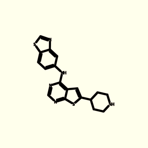 c1nc(Nc2ccc3scnc3c2)c2cc(C3CCNCC3)sc2n1